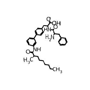 CCCCCCCC(C)C(=O)Nc1cccc(-c2ccc(CC(NC(=O)C(N)Cc3ccccc3)C(=O)O)cc2)c1